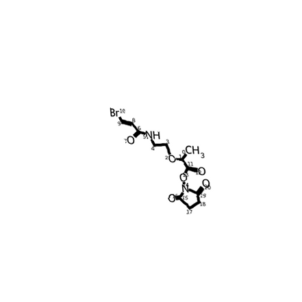 CC(OCCNC(=O)/C=C/Br)C(=O)ON1C(=O)CCC1=O